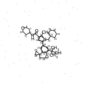 Cc1c(C(=O)NC2CCOCC2)cc(-c2cc(C(C)(C)O)c3c(c2)C2(CCO3)CC2)n1CC1CCCCC1